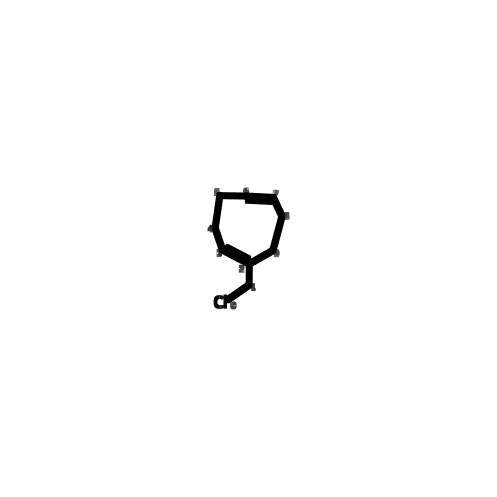 ClCC1=CCCC=CCC1